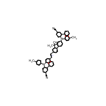 Cc1ccc(N(c2ccc(/C=C/c3ccc4c(c3)C(C)(C)c3cc(N(c5ccc(C)cc5)c5ccc(C#N)cc5-c5ccccc5)ccc3-4)cc2)c2ccc(C#N)cc2-c2ccccc2)cc1